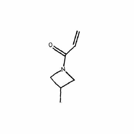 [CH2]C1CN(C(=O)C=C)C1